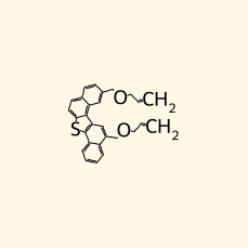 C=CCOCc1ccc2ccc3sc4c5ccccc5c(COCC=C)cc4c3c2c1